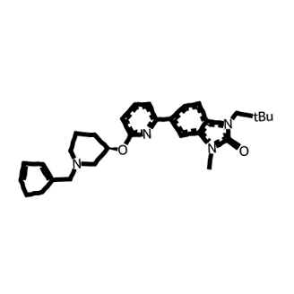 Cn1c(=O)n(CC(C)(C)C)c2ccc(-c3cccc(O[C@@H]4CCCN(CC5=CC=CCC5)C4)n3)cc21